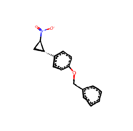 O=[N+]([O-])C1C[C@H]1c1ccc(OCc2ccccc2)cc1